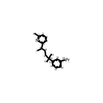 Cc1cccc(C(C)CCC(C)(C)c2cccc(C(C)C)c2)n1